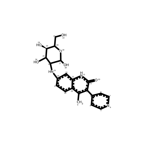 Cc1c(-c2ccncc2)c(=O)[nH]c2cc(NC3C(O)OC(CO)[C@H](O)C3O)ccc12